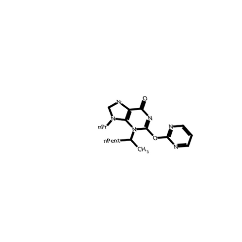 CCCCCC(C)n1c(Oc2ncccn2)nc(=O)c2c1N(CCC)C[N]2